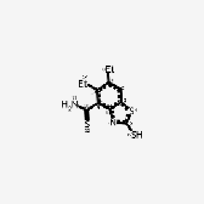 CCc1cc2sc(S)nc2c(C(N)=S)c1CC